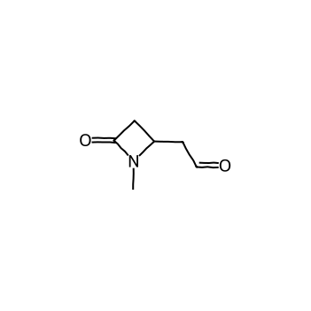 CN1C(=O)CC1CC=O